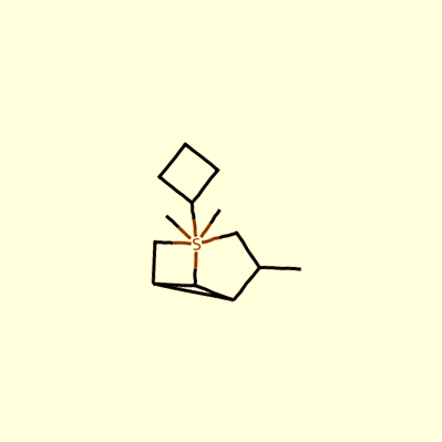 CC1CS2(C)(C)(C3CCC3)CC3C1C32